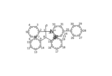 CC(c1ccccc1)(C(c1ccccc1)c1ccccc1)[n+]1bcc(-c2ccccc2)cc1